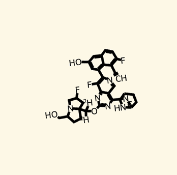 [2H]C([2H])(Oc1nc(N2CC3CCC2CN3)c2cnc(-c3cc(O)cc4ccc(F)c(C#C)c34)c(F)c2n1)C12CCC(CO)N1CC(F)C2